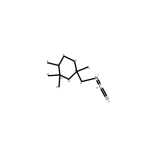 CC1CCC(C)(CN=C=O)CC1(C)C